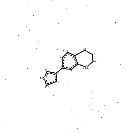 c1cc(-c2ccc3c(c2)OCCC3)cs1